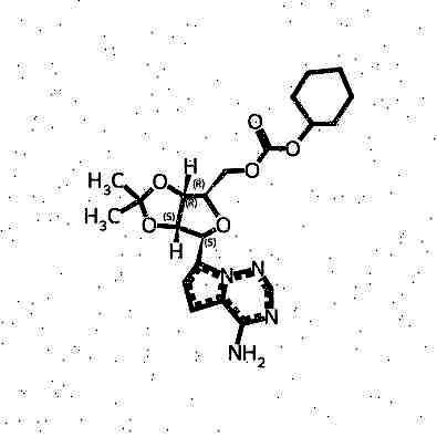 CC1(C)O[C@@H]2[C@H](O1)[C@@H](COC(=O)OC1CCCCC1)O[C@H]2c1ccc2c(N)ncnn12